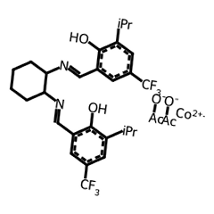 CC(=O)[O-].CC(=O)[O-].CC(C)c1cc(C(F)(F)F)cc(C=NC2CCCCC2N=Cc2cc(C(F)(F)F)cc(C(C)C)c2O)c1O.[Co+2]